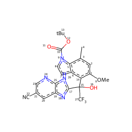 COc1cc(C)c2c(ccn2C(=O)OC(C)(C)C)c1C(O)(c1nc2cc(C#N)cnc2[nH]1)C(F)(F)F